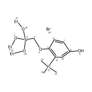 CCO[Si](COc1ccc(O)cc1[P+](C)(C)C)(OCC)OCC.[Br-]